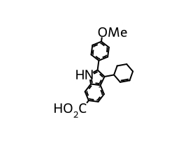 COc1ccc(-c2[nH]c3cc(C(=O)O)ccc3c2C2C=CCCC2)cc1